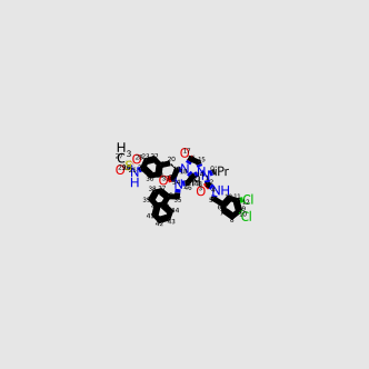 CC(C)N(C(=O)NCc1ccc(Cl)c(Cl)c1)N1CC(=O)N2[C@@H](Cc3ccc(NS(C)(=O)=O)cc3)C(=O)N(Cc3cccc4ccccc34)C[C@@H]21